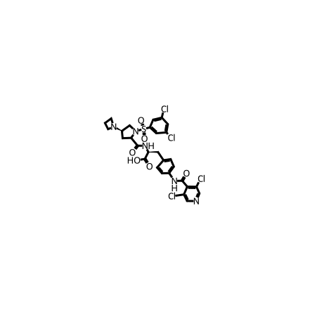 O=C(Nc1ccc(C[C@H](NC(=O)C2C[C@@H](N3CCC3)CN2S(=O)(=O)c2cc(Cl)cc(Cl)c2)C(=O)O)cc1)c1c(Cl)cncc1Cl